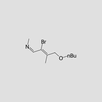 CCCCOC/C(C)=C(Br)/C=N\C